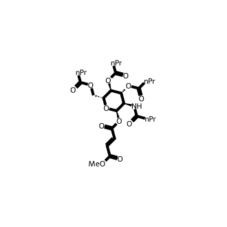 CCCC(=O)N[C@H]1[C@@H](OC(=O)/C=C/C(=O)OC)O[C@H](COC(=O)CCC)[C@@H](OC(=O)CCC)[C@@H]1OC(=O)CCC